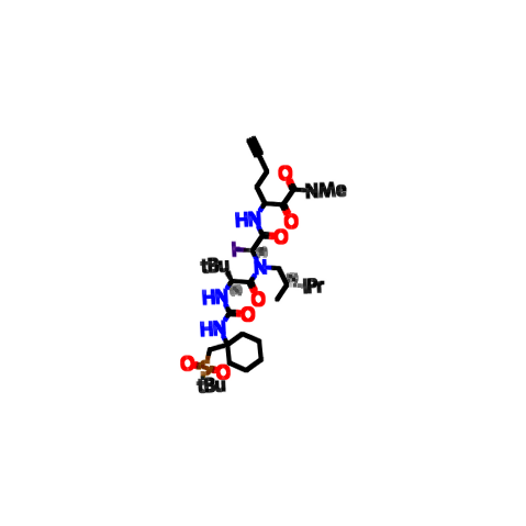 C#CCCC(NC(=O)[C@H](I)N(C[C@@H](C)C(C)C)C(=O)[C@@H](NC(=O)NC1(CS(=O)(=O)C(C)(C)C)CCCCC1)C(C)(C)C)C(=O)C(=O)NC